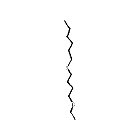 CCCCCCSCCCCOCC